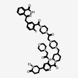 CCN1CC(c2cnc(C(=O)N3CCC(CN4CCN(CC(=O)N5CCN(C(=O)c6cc(Cc7n[nH]c(=O)c8ccccc78)ccc6F)CC5)CC4)CC3)c(NC(=O)CN3CCOCC3)c2)CCC1=O